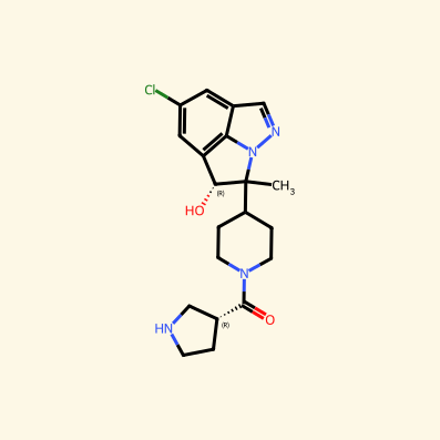 CC1(C2CCN(C(=O)[C@@H]3CCNC3)CC2)[C@H](O)c2cc(Cl)cc3cnn1c23